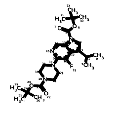 CC(C)c1cn(C(=O)OC(C)(C)C)c2cnc(N3CCN(C(=O)OC(C)(C)C)CC3)c(F)c12